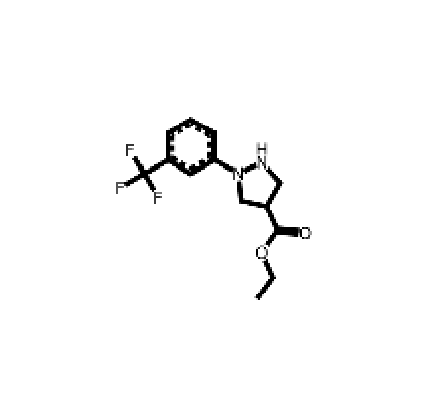 CCOC(=O)C1CNN(c2cccc(C(F)(F)F)c2)C1